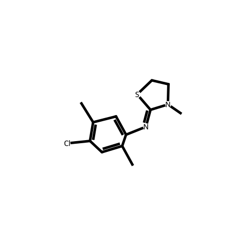 Cc1cc(N=C2SCCN2C)c(C)cc1Cl